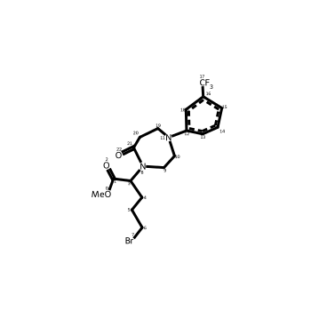 COC(=O)C(CCCBr)N1CCN(c2cccc(C(F)(F)F)c2)CCC1=O